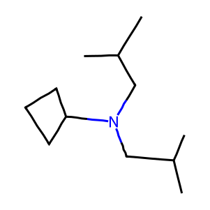 CC(C)CN(CC(C)C)C1CCC1